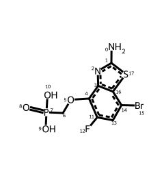 Nc1nc2c(OCP(=O)(O)O)c(F)cc(Br)c2s1